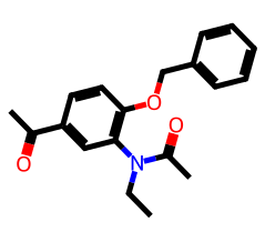 CCN(C(C)=O)c1cc(C(C)=O)ccc1OCc1ccccc1